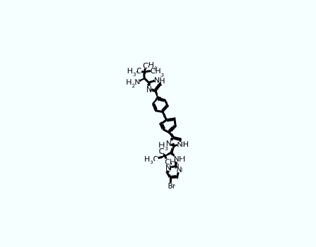 CC(C)(C)C(N)c1nc(-c2ccc(-c3ccc(-c4c[nH]c(C(Nc5ncc(Br)cn5)C(C)(C)C)n4)cc3)cc2)c[nH]1